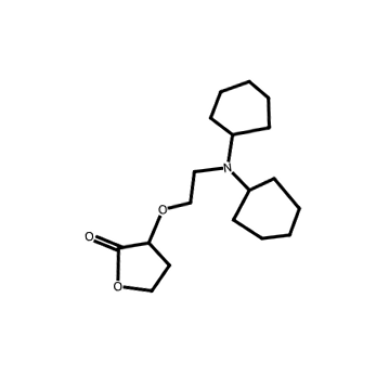 O=C1OCCC1OCCN(C1CCCCC1)C1CCCCC1